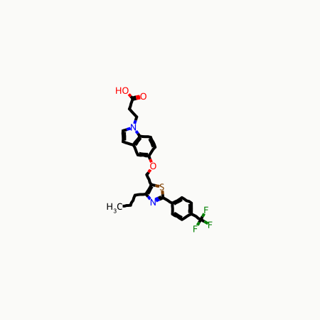 CCCc1nc(-c2ccc(C(F)(F)F)cc2)sc1COc1ccc2c(ccn2CCC(=O)O)c1